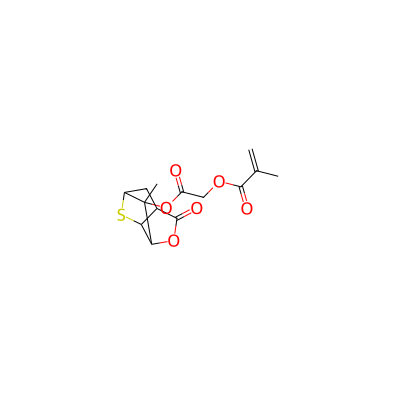 C=C(C)C(=O)OCC(=O)OC1(C)C2CC3C(=O)OC1C3S2